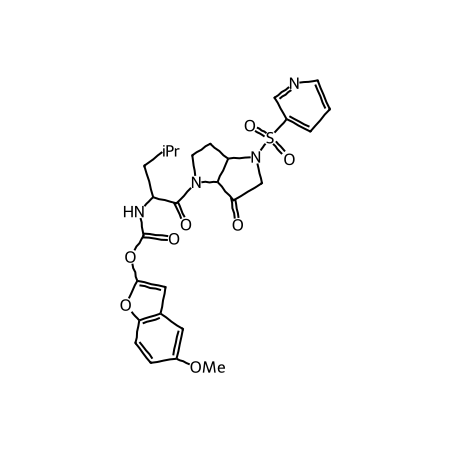 COc1ccc2oc(OC(=O)NC(CC(C)C)C(=O)N3CCC4C3C(=O)CN4S(=O)(=O)c3cccnc3)cc2c1